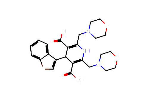 O=C(O)C1=C(CN2CCOCC2)NC(CN2CCOCC2)=C(C(=O)O)C1c1csc2ccccc12